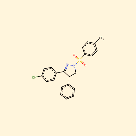 O=S(=O)(c1ccc(C(F)(F)F)cc1)N1C[C@H](c2ccccc2)C(c2ccc(Cl)cc2)=N1